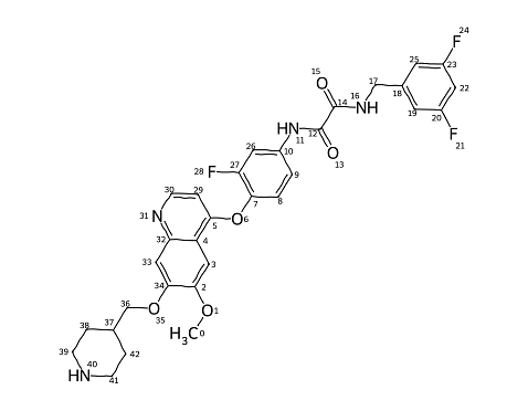 COc1cc2c(Oc3ccc(NC(=O)C(=O)NCc4cc(F)cc(F)c4)cc3F)ccnc2cc1OCC1CCNCC1